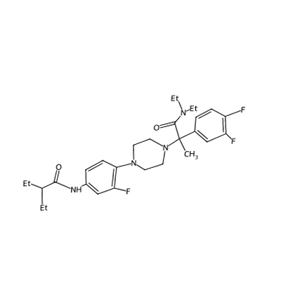 CCC(CC)C(=O)Nc1ccc(N2CCN(C(C)(C(=O)N(CC)CC)c3ccc(F)c(F)c3)CC2)c(F)c1